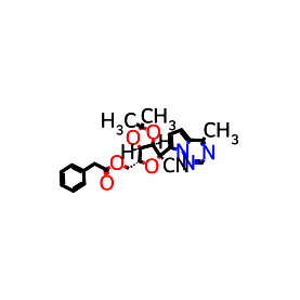 Cc1ncnn2c([C@]3(C#N)O[C@H](COC(=O)Cc4ccccc4)[C@H]4OC(C)(C)O[C@H]43)ccc12